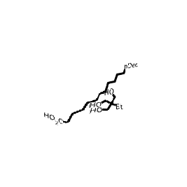 CCC(CO)(CO)CO.CCCCCCCCCCCCCCCCCCCCCC(=O)O